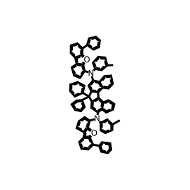 Cc1cccc(N(c2cc3c(c4ccccc24)-c2c(cc(N(c4cccc(C)c4)c4cccc5c4oc4c(-c6ccccc6)cccc45)c4ccccc24)C3(c2ccccc2)c2ccccc2)c2cccc3c2oc2c(-c4ccccc4)cccc23)c1